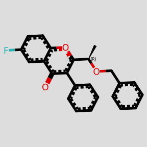 C[C@@H](OCc1ccccc1)c1oc2ccc(F)cc2c(=O)c1-c1ccccc1